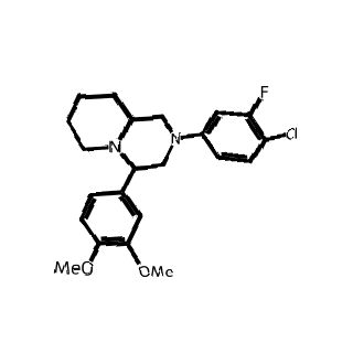 COc1ccc(C2CN(c3ccc(Cl)c(F)c3)CC3CCCCN32)cc1OC